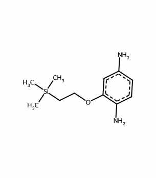 C[Si](C)(C)CCOc1cc(N)ccc1N